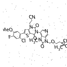 COc1cc(-c2cc3c(s2)c(=O)n(-c2cncc4c2n(C)c(=O)n4COCC[Si](C)(C)C)c(=O)n3CCC#N)c(Cl)cc1F